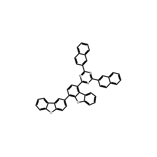 c1ccc2cc(-c3nc(-c4ccc5ccccc5c4)nc(-c4ccc(-c5ccc6oc7ccccc7c6c5)c5oc6ccccc6c45)n3)ccc2c1